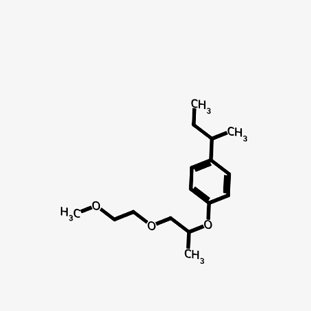 CCC(C)c1ccc(OC(C)COCCOC)cc1